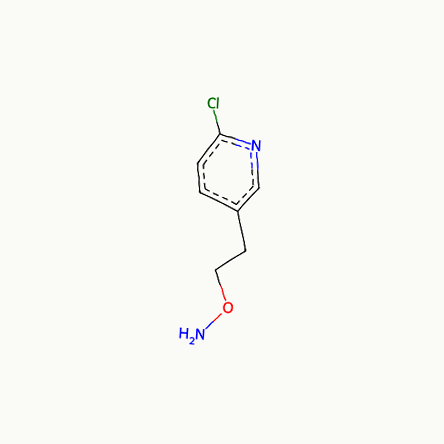 NOCCc1ccc(Cl)nc1